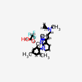 Cc1cc(C)c(N2CCCc3c2nn(C)c3CCCN(C)C2CC2)c(C)c1.O=C(O)C(F)(F)F